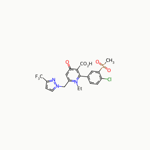 CCn1c(Cn2ccc(C(F)(F)F)n2)cc(=O)c(C(=O)O)c1-c1ccc(Cl)c(S(C)(=O)=O)c1